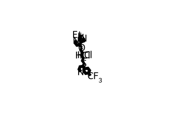 CCn1ncc2c(OCCCCCSc3ccnc4cc(C(F)(F)F)ccc34)ccnc21.Cl.Cl